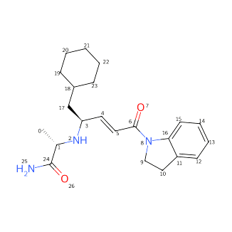 C[C@H](N[C@H](/C=C/C(=O)N1CCc2ccccc21)CC1CCCCC1)C(N)=O